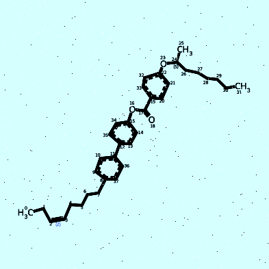 CC/C=C\CCCCc1ccc(-c2ccc(OC(=O)c3ccc(O[C@@H](C)CCCCCC)cc3)cc2)cc1